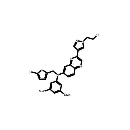 COc1cc(OC)cc(N(Cc2ccc(Cl)s2)c2ccc3ncc(-c4cnn(CCO)c4)nc3c2)c1